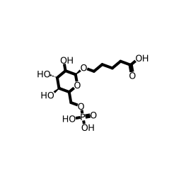 O=C(O)CCCCO[C@H]1OC(COP(=O)(O)O)[C@@H](O)[C@H](O)C1O